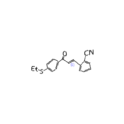 CCSc1ccc(C(=O)/C=C/c2ccccc2C#N)cc1